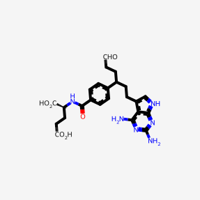 Nc1nc(N)c2c(CCC(CCC=O)c3ccc(C(=O)N[C@@H](CCC(=O)O)C(=O)O)cc3)c[nH]c2n1